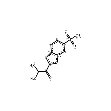 CC(C)C(=O)c1cn2cc(S(C)(=O)=O)ccc2n1